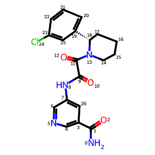 NC(=O)c1cncc(NC(=O)C(=O)N2CCCC[C@H]2c2cccc(Cl)c2)c1